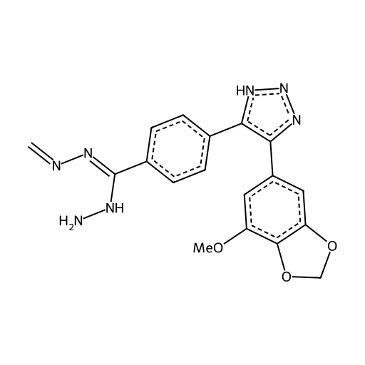 C=N/N=C(\NN)c1ccc(-c2[nH]nnc2-c2cc(OC)c3c(c2)OCO3)cc1